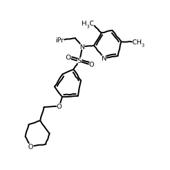 Cc1cnc(N(CC(C)C)S(=O)(=O)c2ccc(OCC3CCOCC3)cc2)c(C)c1